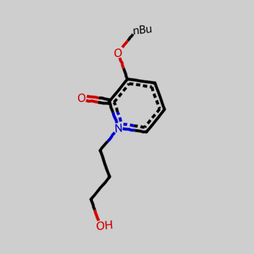 CCCCOc1cccn(CCCO)c1=O